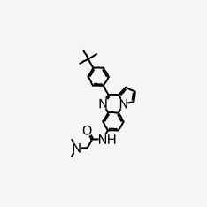 CN(C)CC(=O)Nc1ccc2c(c1)nc(-c1ccc(C(C)(C)C)cc1)c1cccn12